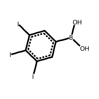 OB(O)c1cc(I)c(I)c(I)c1